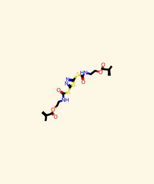 C=C(C)C(=O)OCCNC(=O)Sc1nnc(SC(=O)NCCOC(=O)C(=C)C)s1